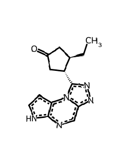 CC[C@@H]1CC(=O)C[C@H]1c1nnc2cnc3[nH]ccc3n12